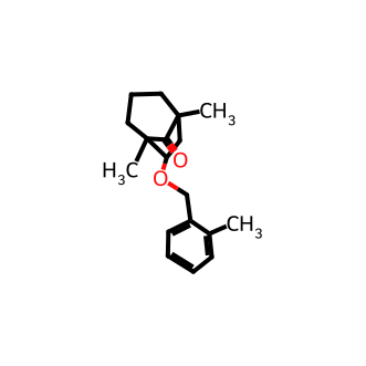 Cc1ccccc1COC1CC2(C)CCCC1(C)C2=O